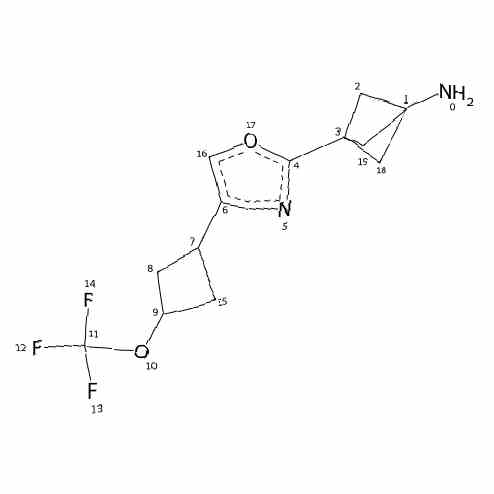 NC12CC(c3nc(C4CC(OC(F)(F)F)C4)co3)(C1)C2